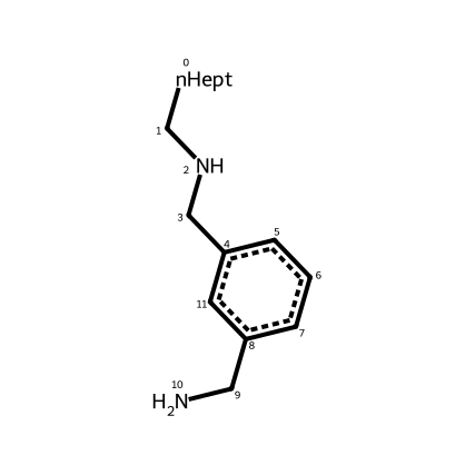 CCCCCCCCNCc1cccc(CN)c1